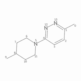 Cc1ccc(N2CCC(C)CC2)nn1